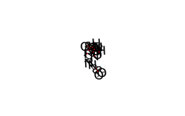 COc1ccc(CN(Cc2ccc(OC)cc2)c2cc(-c3nc4c5c(nc([S+](C)[O-])nc5c3F)N3C[C@H]5CC[C@@H]([C@H]3[C@H](C)O4)N5C(=O)OC(C)(C)C)c(C3CC3)c(C)n2)cc1